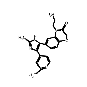 Cc1cc(-c2nc(N)[nH]c2-c2ccc3c(c2)N(CCN)C(=O)CO3)ccn1